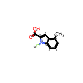 Cc1cccc2c1cc(C(=O)O)n2F